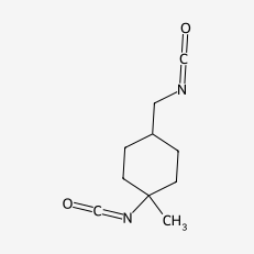 CC1(N=C=O)CCC(CN=C=O)CC1